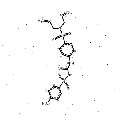 C=CCN(CC=C)S(=O)(=O)c1ccc(NC(=O)NS(=O)(=O)c2ccc(C)cc2)cc1